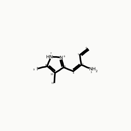 C=C/C(N)=C\c1n[nH]c(I)c1C